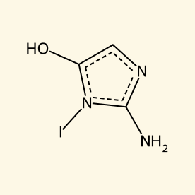 Nc1ncc(O)n1I